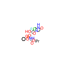 C=C1NC(=O)C=CN1[C@@H]1O[C@H](COP(=O)(N[C@@H](C)C(=O)OC(C)C)Oc2ccccc2)[C@H](O)C1(F)Cl